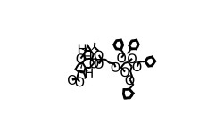 CC(C)[C@]12C[C@H]1[C@@H]1O[C@@]13[C@@]1(C)CCC4=C(COC4=O)[C@@H]1CO[C@]3(C)[C@@H]2OC(=O)CCCOC1OC(COCc2ccccc2)C(OCc2ccccc2)C(OCc2ccccc2)C1OCc1ccccc1